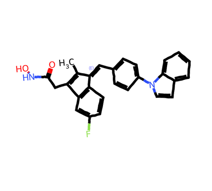 CC1=C(CC(=O)NO)c2cc(F)ccc2/C1=C\c1ccc(-n2ccc3ccccc32)cc1